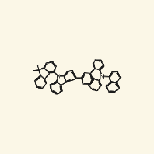 CC1(C)c2ccccc2-c2c(-n3c4ccccc4c4cc(-c5cccc(-c6ccccc6N(c6ccccc6)c6cccc7ccccc67)c5)ccc43)cccc21